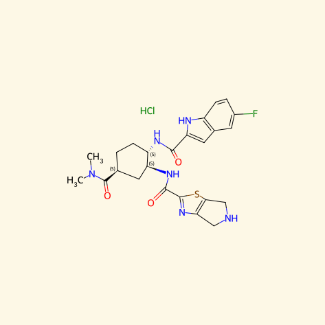 CN(C)C(=O)[C@H]1CC[C@H](NC(=O)c2cc3cc(F)ccc3[nH]2)[C@@H](NC(=O)c2nc3c(s2)CNC3)C1.Cl